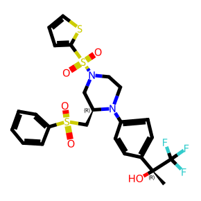 C[C@@](O)(c1ccc(N2CCN(S(=O)(=O)c3cccs3)C[C@@H]2CS(=O)(=O)c2ccccc2)cc1)C(F)(F)F